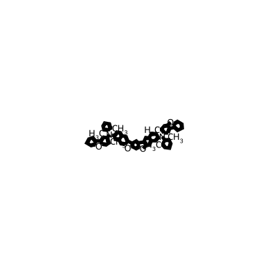 Cc1ccccc1N(c1ccc2cc3c(cc2c1)oc1cc2oc4cc5cc(N(c6ccccc6C)c6c(C)cc7oc8ccccc8c7c6C)ccc5cc4c2cc13)c1c(C)cc2oc3ccccc3c2c1C